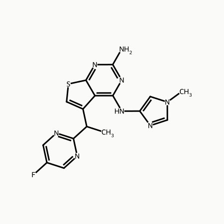 CC(c1ncc(F)cn1)c1csc2nc(N)nc(Nc3cn(C)cn3)c12